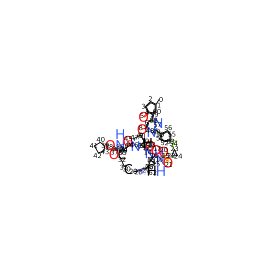 Cc1ccc2oc3c(O[C@@H]4C[C@H]5C(=O)N[C@]6(C(=O)NS(=O)(=O)C7CC7)C[C@H]6/C=C\CCCCC[C@H](NC(=O)OC6CCCC6)C(=O)N5C4)nc(-c4ccc(F)cc4)nc3c2c1